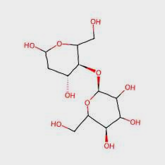 OCC1O[C@@H](O[C@@H]2C(CO)OC(O)C[C@H]2O)C(O)C(O)[C@H]1O